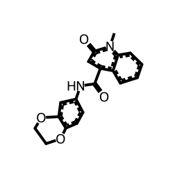 Cn1c(=O)cc(C(=O)Nc2ccc3c(c2)OCCO3)c2ccccc21